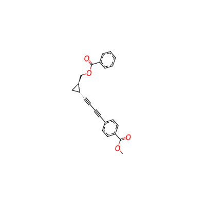 COC(=O)c1ccc(C#CC#C[C@@H]2C[C@H]2COC(=O)c2ccccc2)cc1